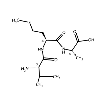 CSCC[C@H](NC(=O)[C@@H](N)C(C)C)C(=O)N[C@@H](C)C(=O)O